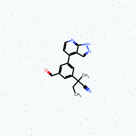 CCC(C)(C#N)c1cc(C=O)cc(-c2ccnc3[nH]ncc23)c1